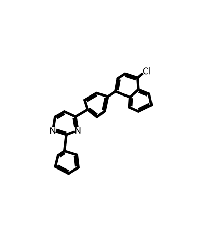 Clc1ccc(-c2ccc(-c3ccnc(-c4ccccc4)n3)cc2)c2ccccc12